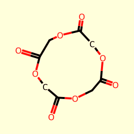 O=C1COC(=O)COC(=O)COC(=O)CO1